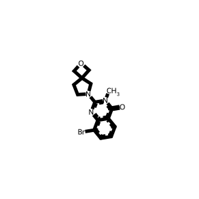 Cn1c(N2CCC3(COC3)C2)nc2c(Br)cccc2c1=O